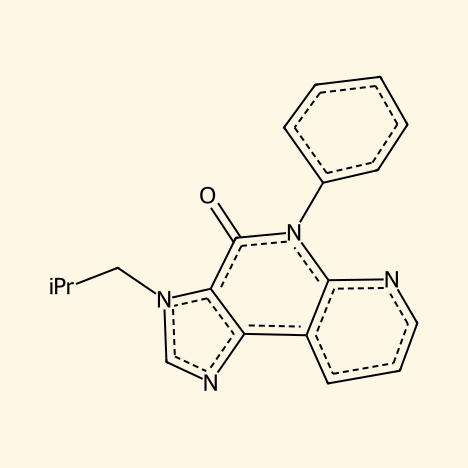 CC(C)Cn1cnc2c3cccnc3n(-c3ccccc3)c(=O)c21